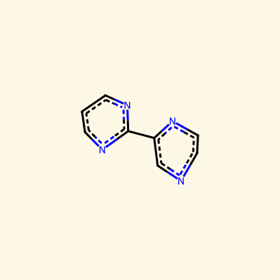 c1cnc(-c2cnccn2)nc1